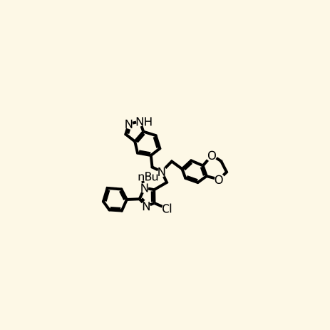 CCCCn1c(-c2ccccc2)nc(Cl)c1CN(Cc1ccc2c(c1)OCCO2)Cc1ccc2[nH]ncc2c1